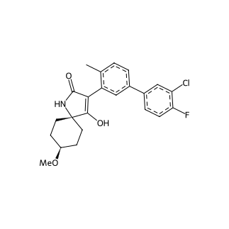 CO[C@H]1CC[C@@]2(CC1)NC(=O)C(c1cc(-c3ccc(F)c(Cl)c3)ccc1C)=C2O